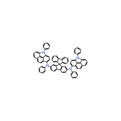 c1ccc(N(c2ccc3c(c2)C2(c4ccccc4-c4ccccc42)c2cc(N(c4ccccc4)c4ccc5c6c4ccc4cccc(c46)n5-c4ccccc4)ccc2-3)c2ccc3c4c2ccc2cccc(c24)n3-c2ccccc2)cc1